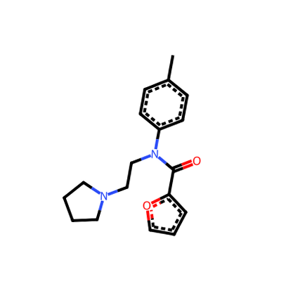 Cc1ccc(N(CCN2CCCC2)C(=O)c2ccco2)cc1